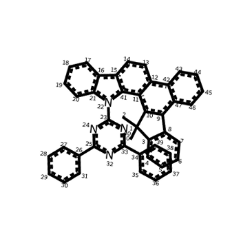 CC1(C)c2ccccc2-c2c1c1c(ccc3c4ccccc4n(-c4nc(-c5ccccc5)nc(-c5ccccc5)n4)c31)c1ccccc21